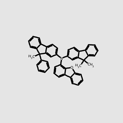 CC1(C)c2ccccc2-c2ccc(N(c3ccc4c(c3)C(C)(c3ccccc3)c3ccccc3-4)c3cccc4c3oc3ccccc34)cc21